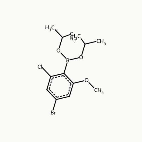 COc1cc(Br)cc(Cl)c1B(OC(C)C)OC(C)C